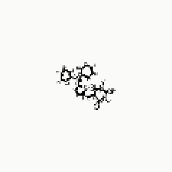 CN1C(=O)C(=Cc2ccc(N(C3=CC=CCC3)c3ccccc3)s2)C(=O)N(C)C1=S